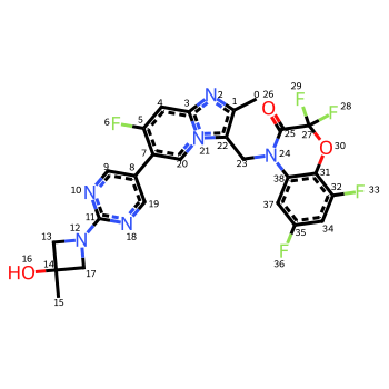 Cc1nc2cc(F)c(-c3cnc(N4CC(C)(O)C4)nc3)cn2c1CN1C(=O)C(F)(F)Oc2c(F)cc(F)cc21